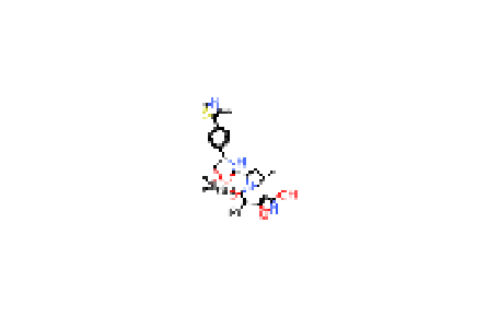 Cc1ncsc1-c1ccc([C@H](CO[Si](C)(C)C(C)(C)C)NC(=O)[C@@H]2C[C@@H](C)CN2C(=O)C(c2cc(O)no2)C(C)C)cc1